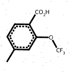 Cc1ccc(C(=O)O)c(OC(F)(F)F)c1